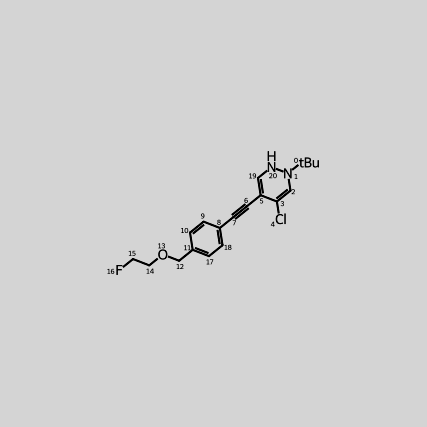 CC(C)(C)N1C=C(Cl)C(C#Cc2ccc(COCCF)cc2)=CN1